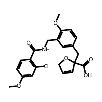 COc1ccc(C(=O)NCc2cc(CC3(C(=O)O)C=CCO3)ccc2OC)c(Cl)c1